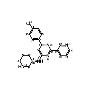 Clc1ccc(-c2cc(N[C@@H]3CCCNC3)nc(-c3cccnc3)n2)cc1